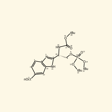 CCCCCCCCc1ccc2nc([C@@H](COP(=O)(OC(C)(C)C)OC(C)(C)C)NC(=O)OC(C)(C)C)[nH]c2c1